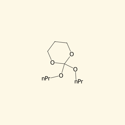 CCCOC1(OCCC)OCCCO1